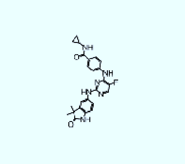 CC1(C)C(=O)Nc2ccc(Nc3ncc(F)c(Nc4ccc(C(=O)NC5CC5)cc4)n3)cc21